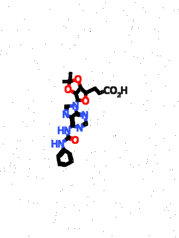 CC1(C)OC2C(CCC(=O)O)OC(n3cnc4c(NC(=O)Nc5ccccc5)ncnc43)C2O1